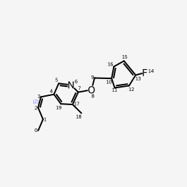 CC/C=C\c1cnc(OCc2ccc(F)cc2)c(C)c1